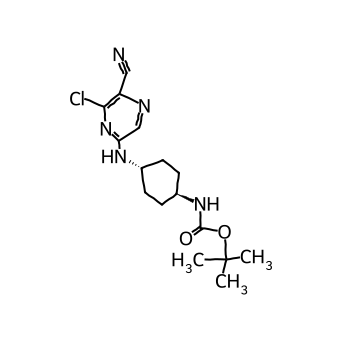 CC(C)(C)OC(=O)N[C@H]1CC[C@H](Nc2cnc(C#N)c(Cl)n2)CC1